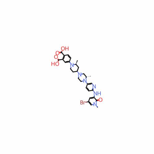 C[C@H]1C[C@@H](N2CCN(c3ccc(Nc4cc(Br)cn(C)c4=O)nc3)[C@@H](C)C2)CCN1c1ccc(C(=O)O)c(C(=O)O)c1